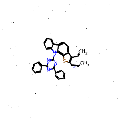 C=Cc1c(/C=C\C)sc2c1ccc1c3ccccc3n(-c3nc(-c4ccccc4)nc(-c4ccccc4)n3)c12